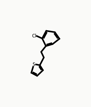 Clc1ccccc1CCc1cccs1